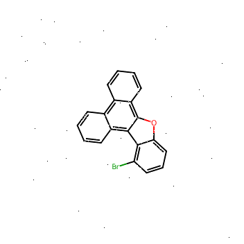 Brc1cccc2oc3c4ccccc4c4ccccc4c3c12